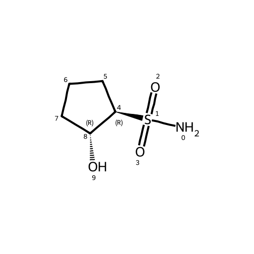 NS(=O)(=O)[C@@H]1CCC[C@H]1O